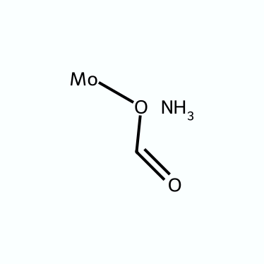 N.O=C[O][Mo]